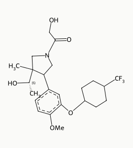 COc1ccc(C2CN(C(=O)CO)CC2(C)[C@H](C)O)cc1OC1CCC(C(F)(F)F)CC1